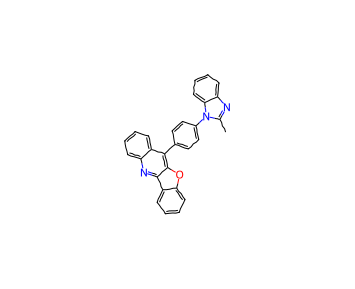 Cc1nc2ccccc2n1-c1ccc(-c2c3ccccc3nc3c2oc2ccccc23)cc1